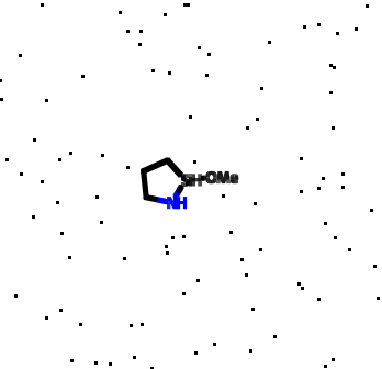 CO[SiH]1CCCN1